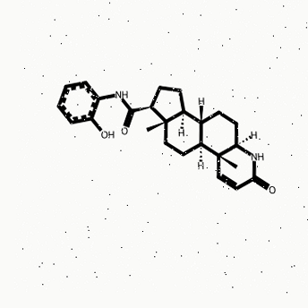 C[C@]12C=CC(=O)N[C@@H]1CC[C@@H]1[C@@H]2CC[C@]2(C)[C@@H](C(=O)Nc3ccccc3O)CC[C@@H]12